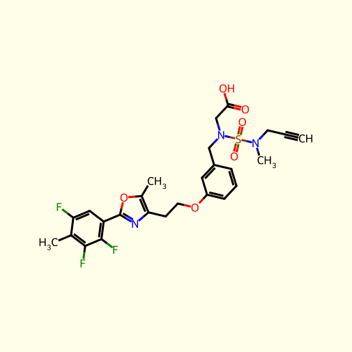 C#CCN(C)S(=O)(=O)N(CC(=O)O)Cc1cccc(OCCc2nc(-c3cc(F)c(C)c(F)c3F)oc2C)c1